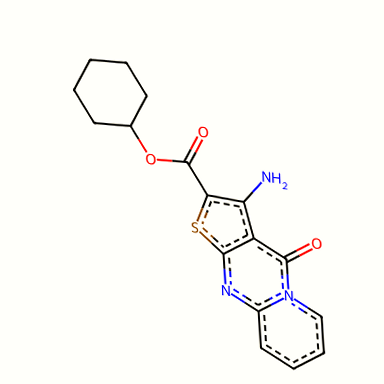 Nc1c(C(=O)OC2CCCCC2)sc2nc3ccccn3c(=O)c12